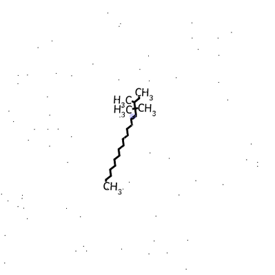 CCCCCCCCCCCCC/C=C/C(C)(C)C(C)CC